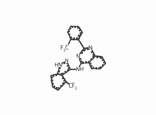 FC(F)(F)c1ccccc1-c1nc(Nc2n[nH]c3cccc(C(F)(F)F)c23)c2ccccc2n1